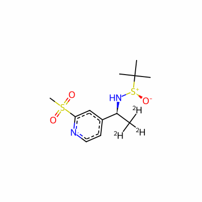 [2H]C([2H])([2H])[C@H](N[S@+]([O-])C(C)(C)C)c1ccnc(S(C)(=O)=O)c1